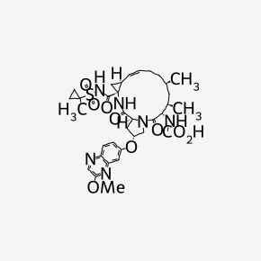 COc1cnc2ccc(O[C@@H]3C[C@H]4C(=O)N[C@]5(C(=O)NS(=O)(=O)C6(C)CC6)C[C@H]5/C=C\CC[C@@H](C)C[C@@H](C)[C@H](NC(=O)O)C(=O)N4C3)cc2n1